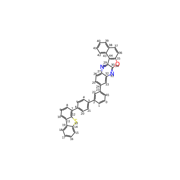 c1cc(-c2ccc(-c3cccc4c3sc3ccccc34)cc2)cc(-c2ccc3nc4c(nc3c2)oc2ccc3ccccc3c24)c1